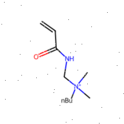 C=CC(=O)NC[N+](C)(C)CCCC